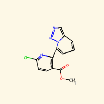 COC(=O)c1ccc(Cl)nc1-c1cccc2cnnn12